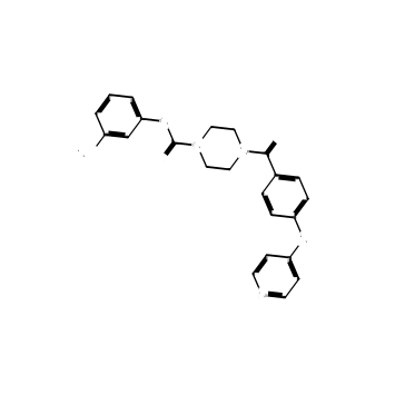 N#Cc1cccc(NC(=O)N2CCN(C(=O)c3ccc(Nc4ccncc4)cc3)CC2)c1